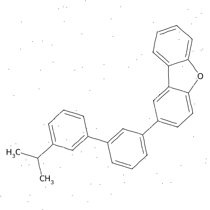 CC(C)c1cccc(-c2cccc(-c3ccc4oc5ccccc5c4c3)c2)c1